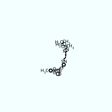 Cc1ccc(S(=O)(=O)OCC(COc2ccc3nc(C=CC#Cc4cnc(N(C)C(=O)OC(C)(C)C)cn4)sc3c2)OC2CCCCO2)cc1